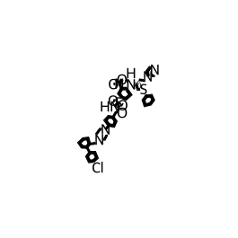 O=C(NS(=O)(=O)c1ccc(N[C@H](CCn2ccnc2)CSc2ccccc2)c([N+](=O)[O-])c1)c1ccc(N2CCN(Cc3ccccc3-c3ccc(Cl)cc3)CC2)cc1